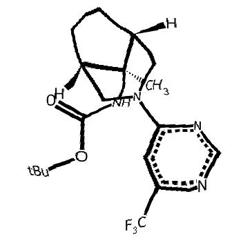 CC(C)(C)OC(=O)N[C@]1(C)[C@@H]2CC[C@H]1CN(c1cc(C(F)(F)F)ncn1)C2